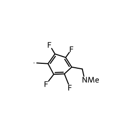 [CH2]c1c(F)c(F)c(CNC)c(F)c1F